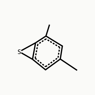 Cc1cc(C)c2c(c1)S2